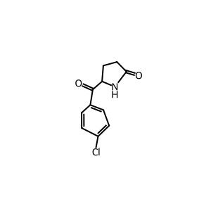 O=C1CCC(C(=O)c2ccc(Cl)cc2)N1